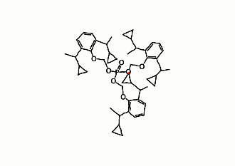 CC(c1cccc(C(C)C2CC2)c1OCOP(=O)(OCOc1c(C(C)C2CC2)cccc1C(C)C1CC1)OCOc1c(C(C)C2CC2)cccc1C(C)C1CC1)C1CC1